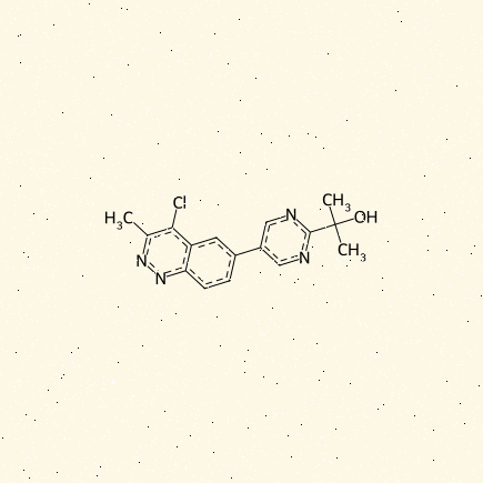 Cc1nnc2ccc(-c3cnc(C(C)(C)O)nc3)cc2c1Cl